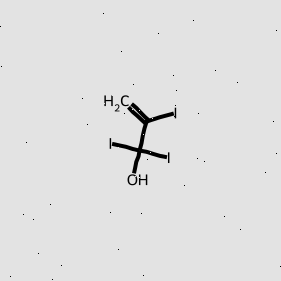 C=C(I)C(O)(I)I